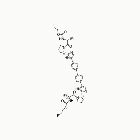 CC(C)C(NC(=O)OCCF)C(=O)N1CCC[C@H]1c1ncc(-c2ccc(-c3ccc(-c4cnc([C@@H]5CCCN5C(=O)[C@@H](NC(=O)OCCF)C(C)C)[nH]4)cc3)cc2)[nH]1